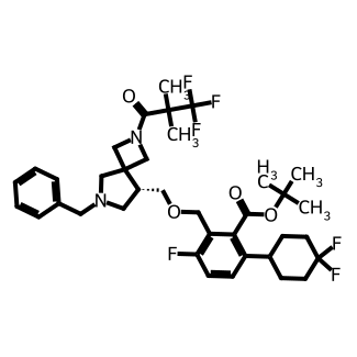 CC(C)(C)OC(=O)c1c(C2CCC(F)(F)CC2)ccc(F)c1COC[C@@H]1CN(Cc2ccccc2)CC12CN(C(=O)C(C)(C)C(F)(F)F)C2